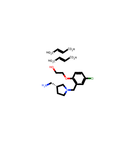 NC[C@H]1CCN(Cc2cc(Cl)ccc2OCCO)C1.O=C(O)/C=C/C(=O)O.O=C(O)/C=C/C(=O)O